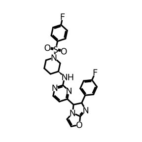 O=S(=O)(c1ccc(F)cc1)N1CCC[C@H](Nc2nccc(C3C(c4ccc(F)cc4)N=C4OC=CN43)n2)C1